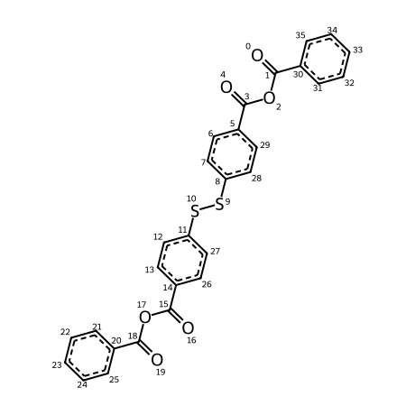 O=C(OC(=O)c1ccc(SSc2ccc(C(=O)OC(=O)c3ccccc3)cc2)cc1)c1ccccc1